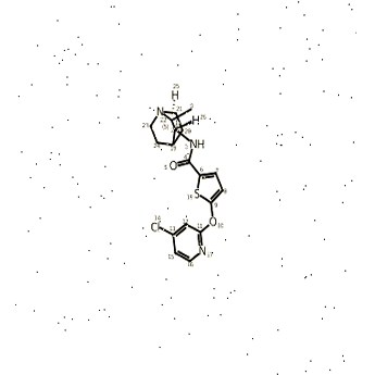 C[C@H]1[C@H](NC(=O)c2ccc(Oc3cc(Cl)ccn3)s2)C2CCN1CC2